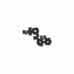 CS(=O)(=O)c1cccc(CNc2ccnc(-c3cccnc3N)n2)c1